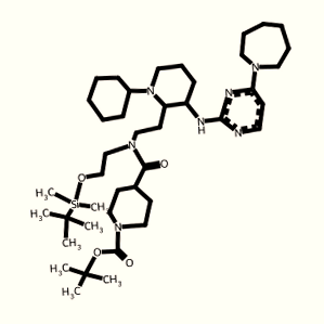 CC(C)(C)OC(=O)N1CCC(C(=O)N(CCO[Si](C)(C)C(C)(C)C)CCC2C(Nc3nccc(N4CCCCCC4)n3)CCCN2C2CCCCC2)CC1